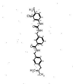 CN(C)Cc1ccc(CNC(=O)c2cccc(CNC(=O)Nc3ccc(N)c(Cl)c3)c2)cc1